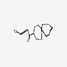 O=C(/C=C/Cl)C1CCC2(CCCCC2)CC1